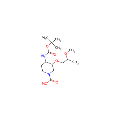 COC(C)COC1CN(C(=O)O)CCC1NC(=O)OC(C)(C)C